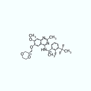 COc1cc2nc(C)nc(N[C@H](C)c3cccc(C(C)(F)F)c3F)c2cc1OC[C@@H]1COCCO1